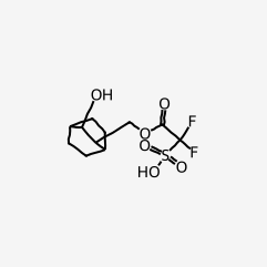 O=C(OCC1C2CCC(CC2)C1O)C(F)(F)S(=O)(=O)O